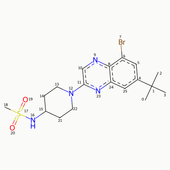 CC(C)(C)c1cc(Br)c2ncc(N3CCC(NS(C)(=O)=O)CC3)nc2c1